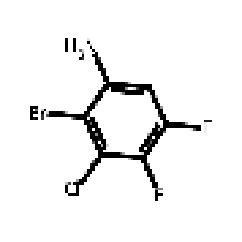 Nc1cc(F)c(F)c(Cl)c1Br